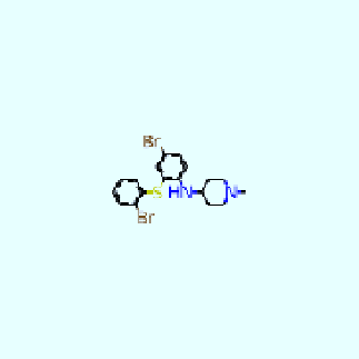 CN1CCC(Nc2ccc(Br)cc2Sc2ccccc2Br)CC1